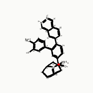 N#Cc1ccc(-c2cc(C(=O)N3C4CCC3CC(N)C4)ccc2-c2ccc3cnncc3c2)cc1F